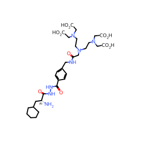 N[C@H](CC1CCCCC1)C(=O)NNC(=O)c1ccc(CNC(=O)CN(CCN(CC(=O)O)CC(=O)O)CCN(CC(=O)O)CC(=O)O)cc1